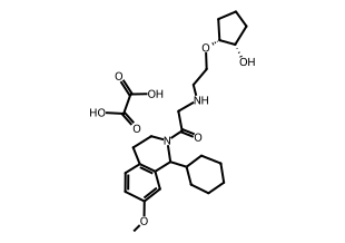 COc1ccc2c(c1)C(C1CCCCC1)N(C(=O)CNCCO[C@@H]1CCC[C@@H]1O)CC2.O=C(O)C(=O)O